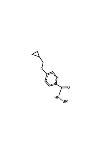 CC(C)(C)NC(=O)c1ccc(OCC2CC2)cn1